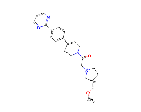 COC[C@H]1CCN(CC(=O)N2CC=C(c3ccc(-c4ncccn4)cc3)CC2)C1